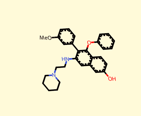 COc1cccc(-c2c(NCCN3CCCCC3)cc3cc(O)ccc3c2Oc2ccccc2)c1